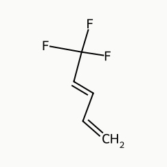 C=CC=CC(F)(F)F